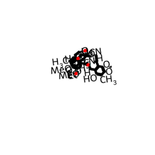 CCOc1cc2c(cc1OC)[C@@]1(CS[C@@H]3c4c(O)c(C)c5c(c4[C@H](COC1=O)N1C3[C@@H]3c4c(cc(C)c(OC)c4OCC)C[C@@H]([C@@H]1C#N)N3C)OCO5)NCC2